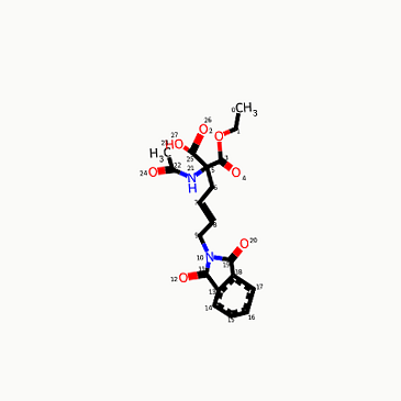 CCOC(=O)C(C/C=C/CN1C(=O)c2ccccc2C1=O)(NC(C)=O)C(=O)O